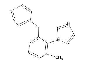 Cc1cccc(Cc2ccccc2)c1-n1ccnc1